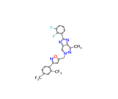 Cc1nn(Cc2cc(-c3ccc(C(F)(F)F)cc3C(F)(F)F)no2)cc2nc(-c3cccc(F)c3F)nc1-2